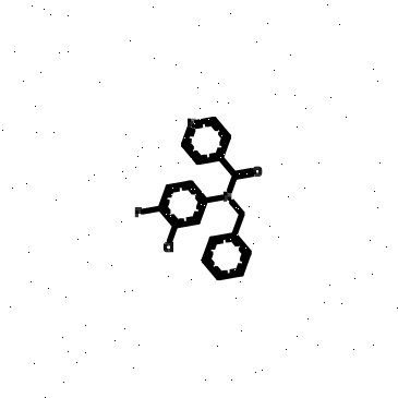 O=C(c1ccncc1)N(Cc1ccccc1)c1ccc(F)c(Cl)c1